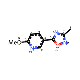 COc1ccc(-c2nc(C)no2)cn1